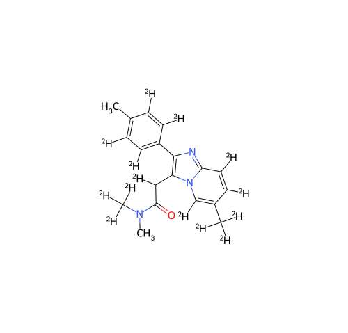 [2H]c1c([2H])c(-c2nc3c([2H])c([2H])c(C([2H])([2H])[2H])c([2H])n3c2C([2H])C(=O)N(C)C([2H])([2H])[2H])c([2H])c([2H])c1C